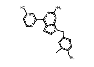 Cc1cc(Cn2ncc3c(-c4cc(C#N)ccn4)nc(N)nc32)ccc1N